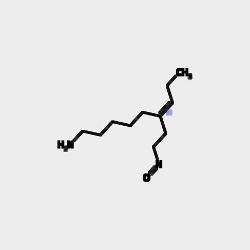 CC/C=C(\CCCCCN)CCN=O